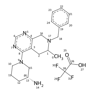 CC1Cc2c(ncnc2N2CCC[C@@H](N)C2)CN1Cc1ccccc1.O=C(O)C(F)(F)F